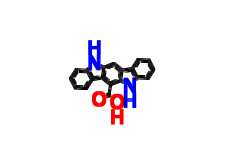 O=C(O)c1c2[nH]c3ccccc3c2cc2[nH]c3ccccc3c12